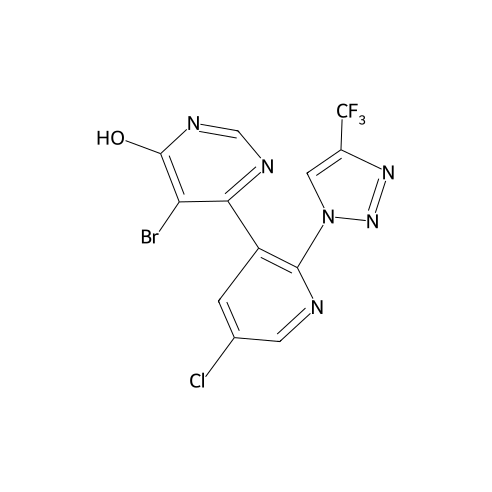 Oc1ncnc(-c2cc(Cl)cnc2-n2cc(C(F)(F)F)nn2)c1Br